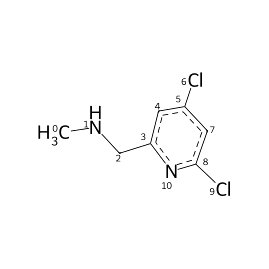 CNCc1cc(Cl)cc(Cl)n1